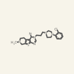 CN1CCc2c(sc3c2C([N])N(CCCN2CCN(c4ccccc4Cl)CC2)C=N3)C1